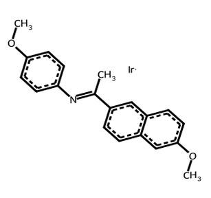 COc1ccc(N=C(C)c2ccc3cc(OC)ccc3c2)cc1.[Ir]